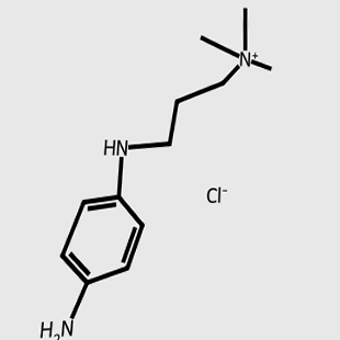 C[N+](C)(C)CCCNc1ccc(N)cc1.[Cl-]